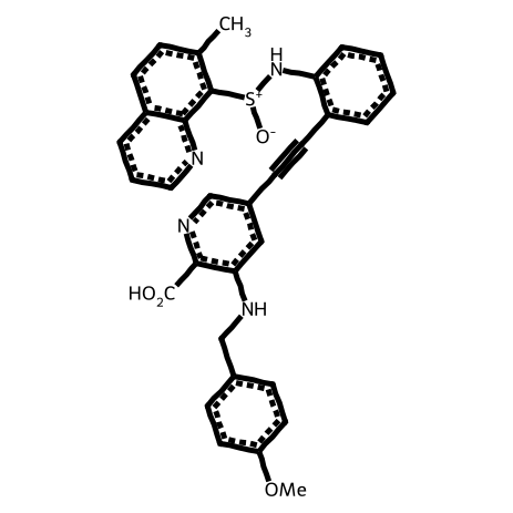 COc1ccc(CNc2cc(C#Cc3ccccc3N[S+]([O-])c3c(C)ccc4cccnc34)cnc2C(=O)O)cc1